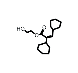 O=C(OCCO)C(=CC1CCCCC1)C1CCCCC1